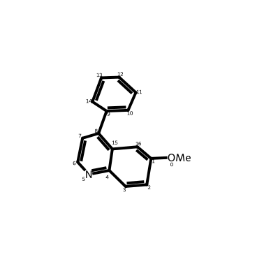 COc1ccc2nccc(-c3ccccc3)c2c1